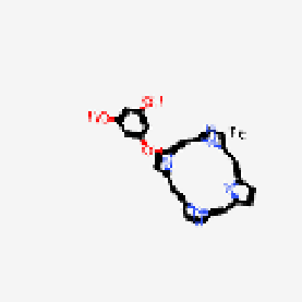 C1=Cc2cc3ccc(cc4nc(cc5ccc(cc1n2)[nH]5)C=C4)[nH]3.Oc1cc(O)cc(O)c1.[Fe]